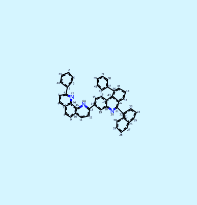 c1ccc(-c2ccc3ccc4ccc(-c5ccc6c(c5)nc(-c5cccc7ccccc57)c5cccc(-c7ccccc7)c56)nc4c3n2)cc1